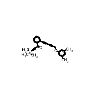 Cc1cc(C)cc(OCC#CC#Cc2ccccc2C(=O)C#C[Si](C)(C)C)c1